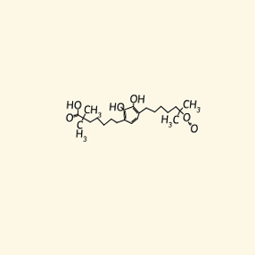 CC(C)(CCCCCc1ccc(CCCCCC(C)(C)C(=O)O)c(O)c1O)OC=O